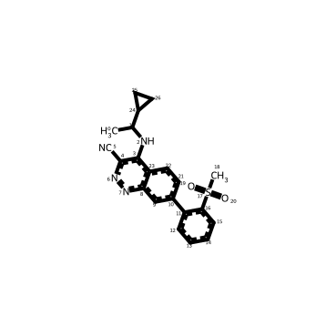 CC(Nc1c(C#N)nnc2cc(-c3ccccc3S(C)(=O)=O)ccc12)C1CC1